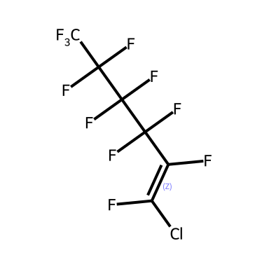 F/C(Cl)=C(/F)C(F)(F)C(F)(F)C(F)(F)C(F)(F)F